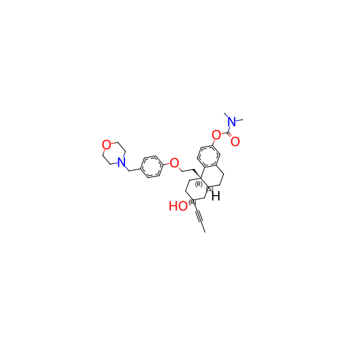 CC#C[C@@]1(O)CC[C@]2(CCOc3ccc(CN4CCOCC4)cc3)c3ccc(OC(=O)N(C)C)cc3CC[C@H]2C1